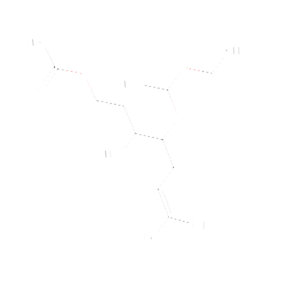 CCOC(C)OC(CC=C(C)C)C(C)CCOC(C)=O